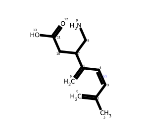 C=C(C)/C=C\C(=C)C(CN)CC(=O)O